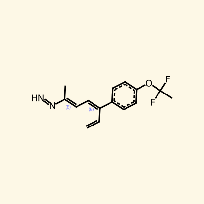 C=C/C(=C\C=C(/C)N=N)c1ccc(OC(C)(F)F)cc1